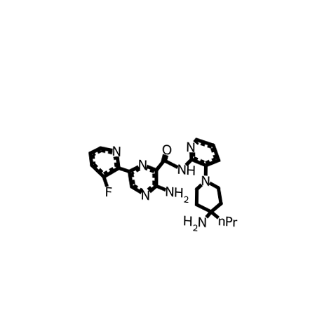 CCCC1(N)CCN(c2cccnc2NC(=O)c2nc(-c3ncccc3F)cnc2N)CC1